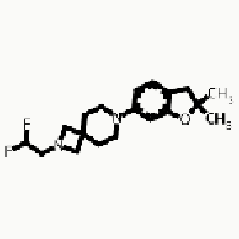 CC1(C)Cc2ccc(N3CCC4(CC3)CN(CC(F)F)C4)cc2O1